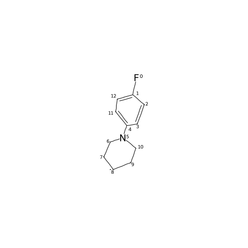 Fc1ccc(N2CC[CH]CC2)cc1